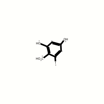 O=C(O)c1c(O)cc(O)cc1I